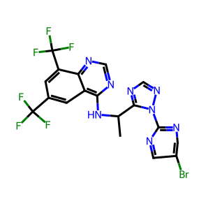 CC(Nc1ncnc2c(C(F)(F)F)cc(C(F)(F)F)cc12)c1ncnn1-c1ncc(Br)cn1